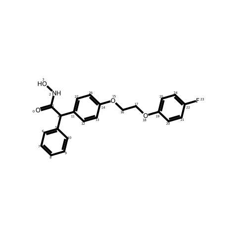 O=C(NO)C(c1ccccc1)c1ccc(OCCOc2ccc(F)cc2)cc1